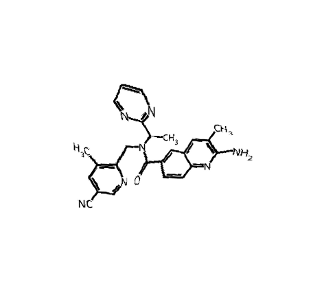 Cc1cc2cc(C(=O)N(Cc3ncc(C#N)cc3C)[C@H](C)c3ncccn3)ccc2nc1N